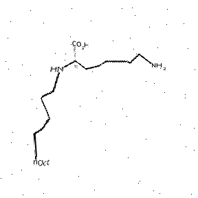 CCCCCCCCCCCCN[C@@H](CCCCN)C(=O)O